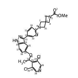 COC(=O)N1CC2(C1)CN(c1ccc(-c3n[nH]c4ccc(OC(C)c5c(Cl)cncc5Cl)cc34)cn1)C2